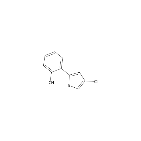 N#Cc1ccccc1-c1cc(Cl)cs1